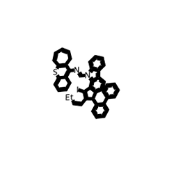 CC/C=C\C1=C(I)c2c(ccc3c4ccccc4n(/C=N/C4=C5CC=CC=C5SC5=C4CC=CC=C5)c23)C1c1ccccc1-c1ccccc1